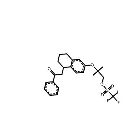 CC(C)(COS(=O)(=O)C(F)(F)F)Oc1ccc2c(c1)CCCC2CC(=O)c1ccccc1